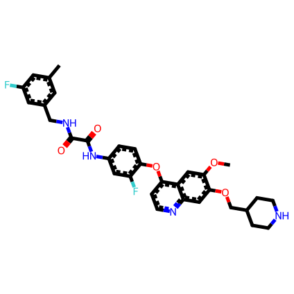 COc1cc2c(Oc3ccc(NC(=O)C(=O)NCc4cc(C)cc(F)c4)cc3F)ccnc2cc1OCC1CCNCC1